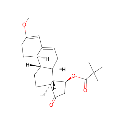 CC[C@]12CC[C@H]3[C@@H](CC=C4C=C(OC)CC[C@@H]43)[C@@H]1[C@@H](OC(=O)C(C)(C)C)CC2=O